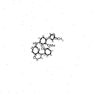 COc1cc(Nc2ncc3c(n2)N(c2ccccc2C)CCO3)ccc1-n1cnc(C)c1